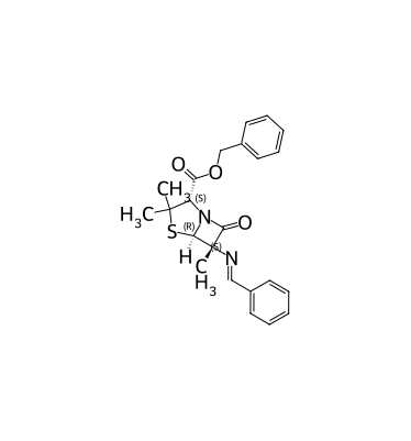 CC1(C)S[C@H]2N(C(=O)[C@]2(C)N=Cc2ccccc2)[C@H]1C(=O)OCc1ccccc1